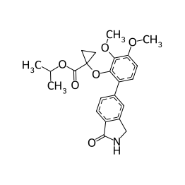 COc1ccc(-c2ccc3c(c2)CNC3=O)c(OC2(C(=O)OC(C)C)CC2)c1OC